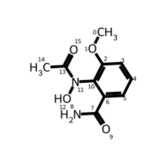 COc1cccc(C(N)=O)c1N(O)C(C)=O